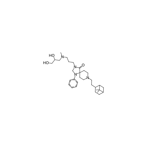 CN(CCCN1CN(c2ccccc2)C2(CCN(CCC3CCC4CC3C4(C)C)CC2)C1=O)CC(O)CO